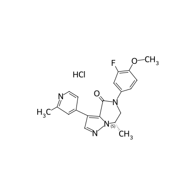 COc1ccc(N2C[C@H](C)n3ncc(-c4ccnc(C)c4)c3C2=O)cc1F.Cl